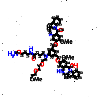 COCCOCCOCCN(CCCC(=O)NCCCON)c1cc(COc2cc3c(cc2OC)C(=O)N2c4ccccc4C[C@H]2C=N3)cc(COc2cc3c(cc2OC)C(O)N2c4ccccc4C[C@H]2CN3)c1